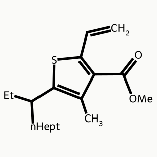 C=Cc1sc(C(CC)CCCCCCC)c(C)c1C(=O)OC